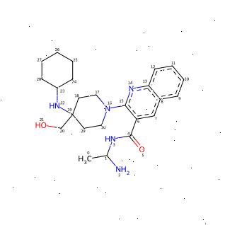 CC(N)NC(=O)c1cc2ccccc2nc1N1CCC(CO)(NC2CCCCC2)CC1